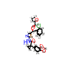 O=C(Nc1ncc(C(OCC2CCCO2)c2ccccc2Cl)s1)C1(c2ccc3c(c2)OCO3)CC1